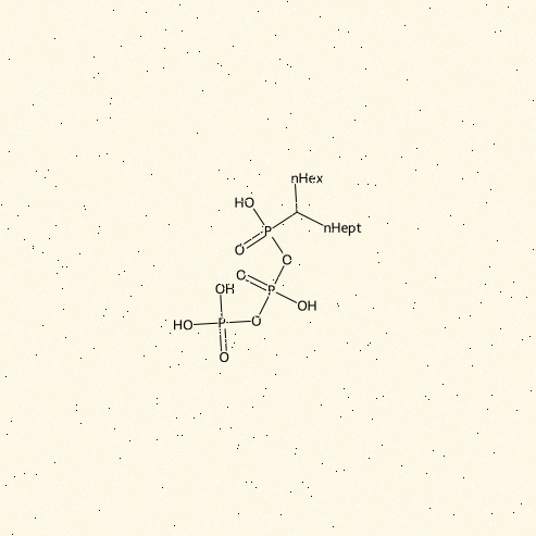 CCCCCCCC(CCCCCC)P(=O)(O)OP(=O)(O)OP(=O)(O)O